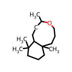 CC1CCC2C(C)(C)CCCC2(C)CCCO1